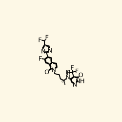 C[C@@H](CCCn1ccc2cc(-c3ncc(C(F)F)cn3)c(F)cc2c1=O)Nc1cn[nH]c(=O)c1C(F)(F)F